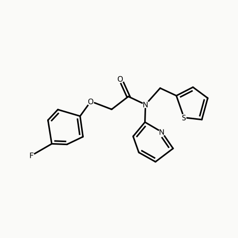 O=C(COc1ccc(F)cc1)N(Cc1cccs1)c1ccccn1